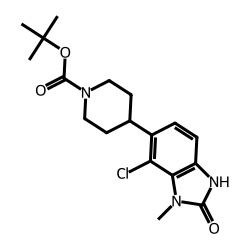 Cn1c(=O)[nH]c2ccc(C3CCN(C(=O)OC(C)(C)C)CC3)c(Cl)c21